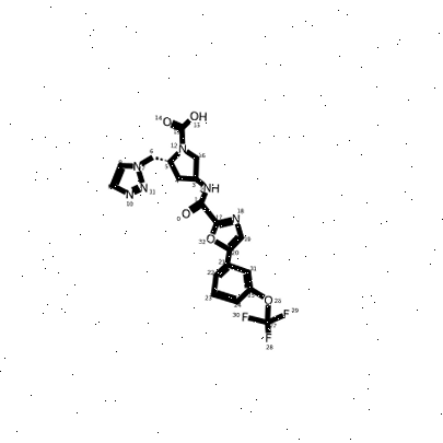 O=C(NC1C[C@H](Cn2ccnn2)N(C(=O)O)C1)c1ncc(-c2cccc(OC(F)(F)F)c2)o1